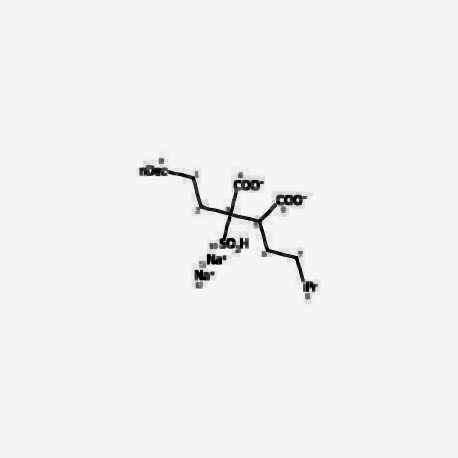 CCCCCCCCCCCCC(C(=O)[O-])(C(CCC(C)C)C(=O)[O-])S(=O)(=O)O.[Na+].[Na+]